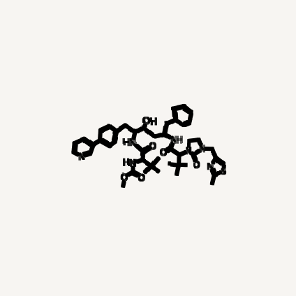 COC(=O)NC(C(=O)NC(Cc1ccc(-c2cccnc2)cc1)C(O)CC(Cc1ccccc1)NC(=O)C(N1CCN(Cc2csc(C)n2)C1=O)C(C)(C)C)C(C)(C)C